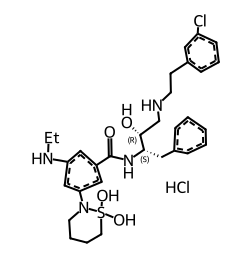 CCNc1cc(C(=O)N[C@@H](Cc2ccccc2)[C@H](O)CNCCc2cccc(Cl)c2)cc(N2CCCCS2(O)O)c1.Cl